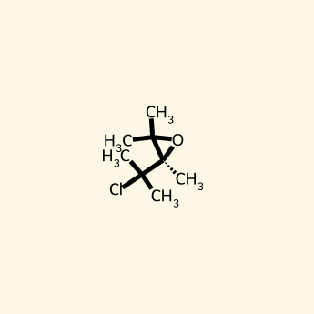 CC(C)(Cl)[C@]1(C)OC1(C)C